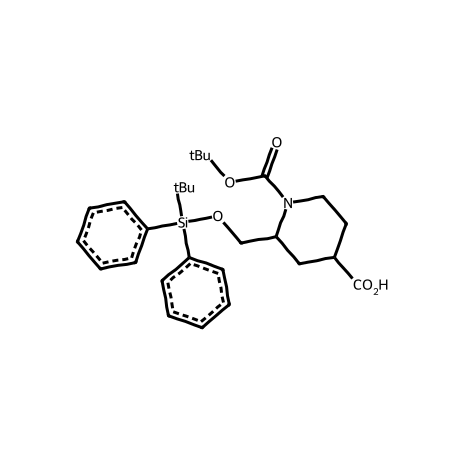 CC(C)(C)OC(=O)N1CCC(C(=O)O)CC1CO[Si](c1ccccc1)(c1ccccc1)C(C)(C)C